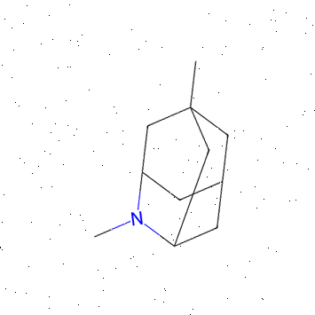 CN1C2CC3CC1CC(C)(C3)C2